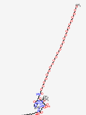 CCCCCCCCCCCCCCCCCCCC(=O)N[C@@H](CCC(=O)N[C@@H](CCC(=O)N[C@H](C(=O)N[C@@H](CCCCNC(=O)CCOCCOCCOCCOCCOCCOCCOCCOCCOCCOCCOCCOCCOCCOCCOCCOCCOCCOCCOCCOCCOCCOCCOCCOC)C(=O)N1CCN(C)CC1)[C@@H](C)CC)C(=O)O)C(=O)O